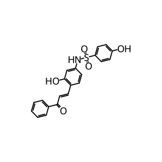 O=C(C=Cc1ccc(NS(=O)(=O)c2ccc(O)cc2)cc1O)c1ccccc1